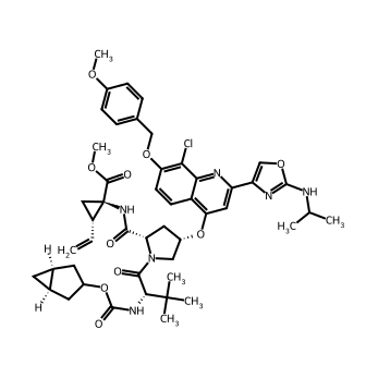 C=C[C@@H]1C[C@]1(NC(=O)[C@@H]1C[C@H](Oc2cc(-c3coc(NC(C)C)n3)nc3c(Cl)c(OCc4ccc(OC)cc4)ccc23)CN1C(=O)[C@@H](NC(=O)OC1C[C@@H]2C[C@@H]2C1)C(C)(C)C)C(=O)OC